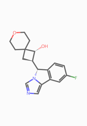 O[C@@H]1[C@@H]([C@@H]2c3ccc(F)cc3-c3cncn32)CC12CCOCC2